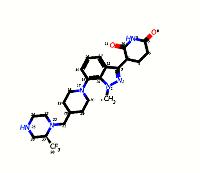 Cn1nc(C2CCC(=O)NC2=O)c2cccc(N3CCC(CN4CCNC[C@@H]4C(F)(F)F)CC3)c21